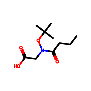 CCCC(=O)N(CC(=O)O)OC(C)(C)C